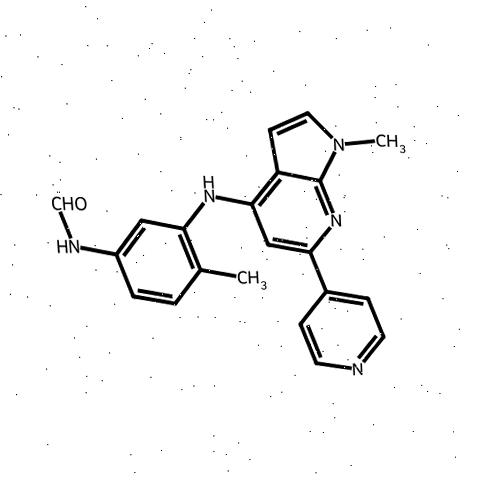 Cc1ccc(NC=O)cc1Nc1cc(-c2ccncc2)nc2c1ccn2C